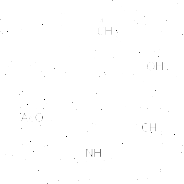 CC(=O)Oc1cc(C)c(O)c(C)c1N